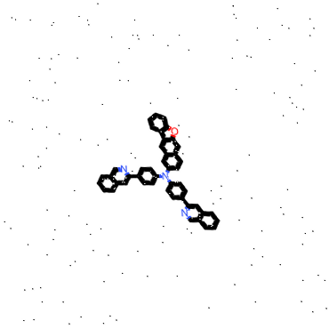 c1ccc2cc(-c3ccc(N(c4ccc(-c5cc6ccccc6cn5)cc4)c4ccc5cc6oc7ccccc7c6cc5c4)cc3)ncc2c1